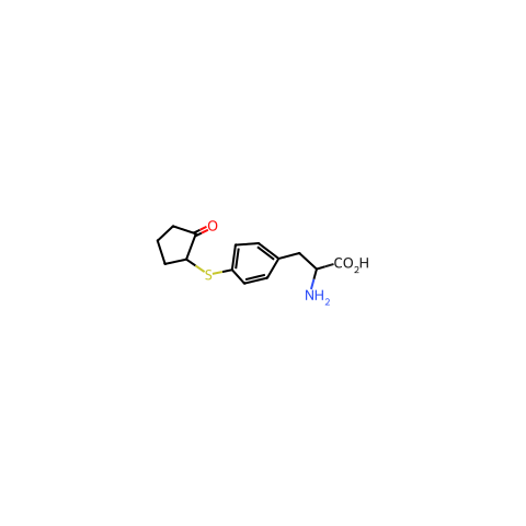 NC(Cc1ccc(SC2CCCC2=O)cc1)C(=O)O